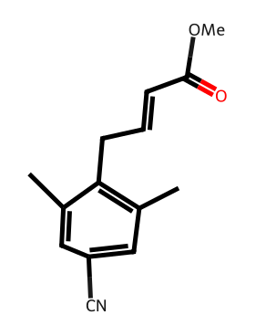 COC(=O)/C=C/Cc1c(C)cc(C#N)cc1C